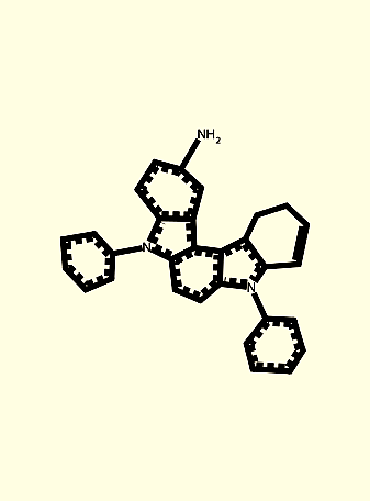 Nc1ccc2c(c1)c1c3c4c(n(-c5ccccc5)c3ccc1n2-c1ccccc1)C=CCC4